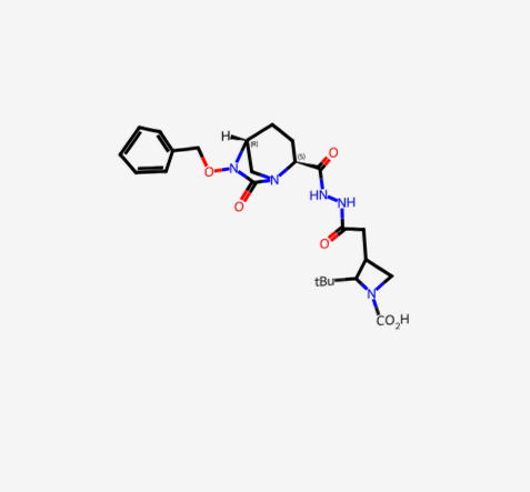 CC(C)(C)C1C(CC(=O)NNC(=O)[C@@H]2CC[C@@H]3CN2C(=O)N3OCc2ccccc2)CN1C(=O)O